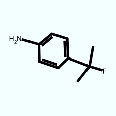 CC(C)(F)c1ccc(N)cc1